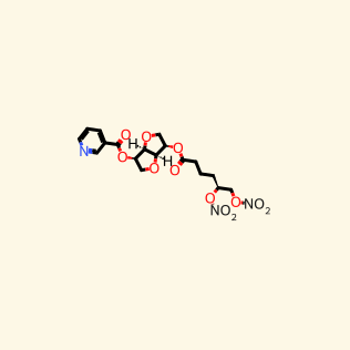 O=C(CCC[C@@H](CO[N+](=O)[O-])O[N+](=O)[O-])O[C@@H]1CO[C@H]2[C@@H]1OC[C@H]2OC(=O)c1cccnc1